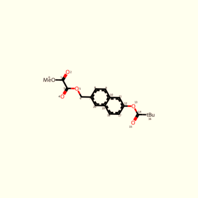 COC(=O)C(=O)OCc1ccc2cc(OC(=O)C(C)(C)C)ccc2c1